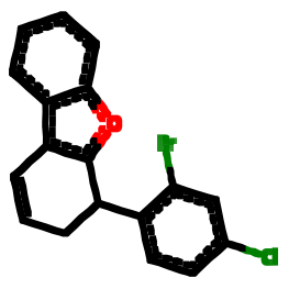 Clc1ccc(C2CC=Cc3c2oc2ccccc32)c(Br)c1